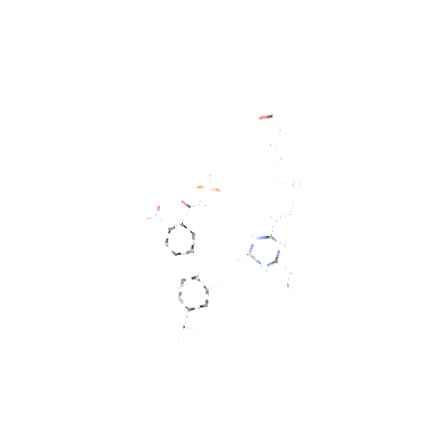 CCNc1nc(Cl)nc(NCC)n1.CS(=O)(=O)NC(=O)c1cc(Oc2ccc(C(F)(F)F)cc2Cl)ccc1[N+](=O)[O-].O=C(O)CNCP(=O)(O)O